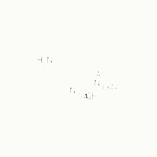 CC(=O)O/N=C(\CC(C)N(OC(C)=O)C(C)=O)c1ccc(N)cc1